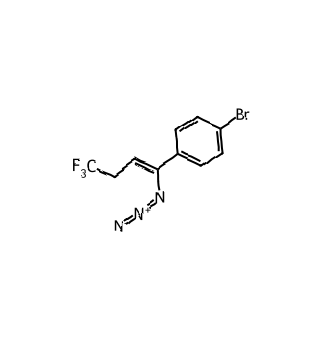 [N-]=[N+]=NC(=CCC(F)(F)F)c1ccc(Br)cc1